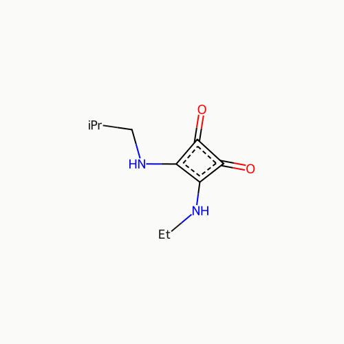 CCNc1c(NCC(C)C)c(=O)c1=O